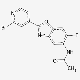 CC(=O)Nc1cc2nc(-c3ccnc(Br)c3)oc2cc1F